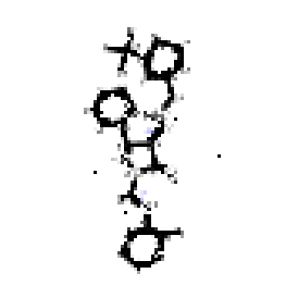 C/C(=N\c1ccccc1C)N1N=C(c2ccccc2)/C(=C\NCc2cccc(C(C)(C)C)c2)C1=O